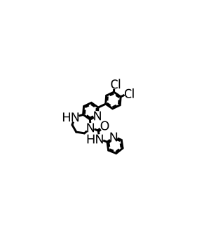 O=C(Nc1ccccn1)N1CCCNc2ccc(-c3ccc(Cl)c(Cl)c3)nc21